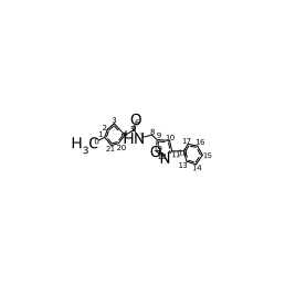 Cc1ccc(C(=O)NCc2cc(-c3ccccc3)no2)cc1